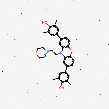 Cc1cc(-c2ccc3c(c2)N(CCN2CCOCC2)c2cc(-c4cc(C)c(O)c(C)c4)ccc2O3)cc(C)c1O